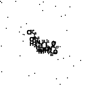 [2H]C1([2H])C(NC[C@@H](O)CCl)=CC=C(N2CCOCC2=O)C1([2H])[2H]